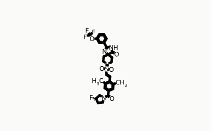 Cc1cc(C(=O)N2CC[C@@H](F)C2)cc(C)c1C=CS(=O)(=O)N1CCC2(CC1)N=C(c1cccc(OC(F)(F)F)c1)NC2=O